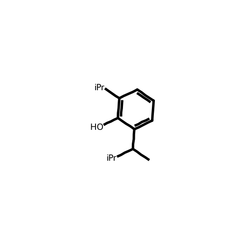 CC(C)c1cccc(C(C)C(C)C)c1O